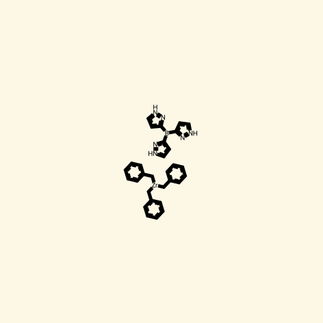 c1cc(B(c2cc[nH]n2)c2cc[nH]n2)n[nH]1.c1ccc([CH2][Zr]([CH2]c2ccccc2)[CH2]c2ccccc2)cc1